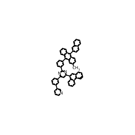 Cc1ccc2c(-c3ccc4ccccc4c3)c3ccccc3c(-c3cccc(-c4nc(-c5cccc(-c6cccnc6)c5)cc(-c5cc6ccc#cc6c6ccccc56)n4)c3)c2c1